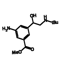 COC(=O)c1cc(N)cc(C(O)CNC(C)(C)C)c1